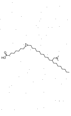 CCCCCCCCC(CCCCCCCCCCC1CC1CCCCCCCC(=O)O)CN(C)C